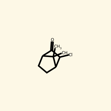 CC1(C)C2CCC1C(Cl)C2=O